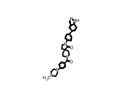 CN1CCN(c2ccc(C(=O)N3CCC4(CC3)CCN(c3ccc(-c5ccc6[nH]ncc6c5)cc3)C4=O)cc2)CC1